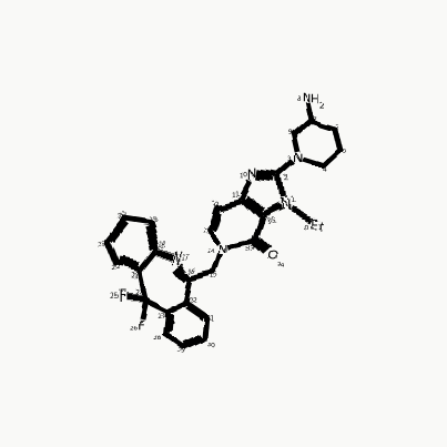 CCn1c(N2CCCC(N)C2)nc2ccn(CC3=Nc4ccccc4C(F)(F)c4ccccc43)c(=O)c21